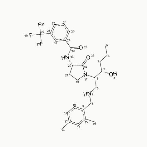 CCC[C@H](O)[C@H](CNCc1ccc(C)cc1C)N1CC[C@H](NC(=O)c2cccc(C(F)(F)F)c2)C1=O